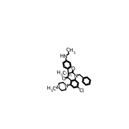 CCNc1ccc([C@]2(C)C(=O)c3c(N4CCN(C)CC4)cc(Cl)cc3N(Cc3ccccc3)C2=O)cc1